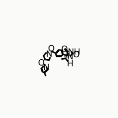 Cc1ccc(OC2CCN(C(=O)c3ccc([C@@]4(C(C)C)NC(=O)NC4=O)cc3)CC2)nc1